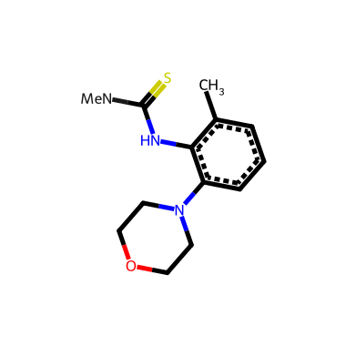 CNC(=S)Nc1c(C)cccc1N1CCOCC1